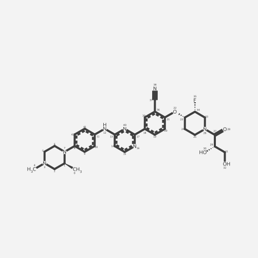 C[C@H]1CN(C)CCN1c1ccc(Nc2ccnc(-c3ccc(O[C@H]4CCN(C(=O)[C@@H](O)CO)C[C@H]4F)c(C#N)c3)n2)cc1